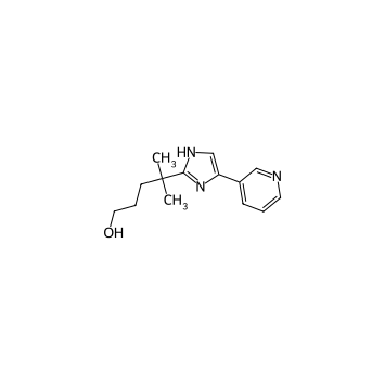 CC(C)(CCCO)c1nc(-c2cccnc2)c[nH]1